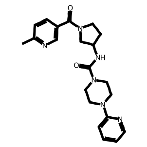 Cc1ccc(C(=O)N2CCC(NC(=O)N3CCN(c4ccccn4)CC3)C2)cn1